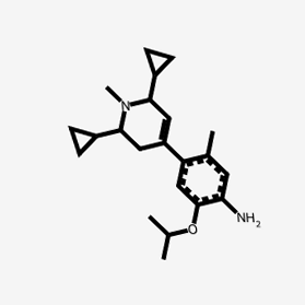 Cc1cc(N)c(OC(C)C)cc1C1=CC(C2CC2)N(C)C(C2CC2)C1